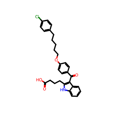 O=C(O)CCCc1[nH]c2ccccc2c1C(=O)c1ccc(OCCCCCc2ccc(Cl)cc2)cc1